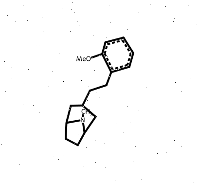 COc1ccccc1CCC1CC2CCC(C1)N2C